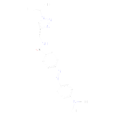 CC(C)n1cc(CNC(=O)c2ccc(N=Nc3ccc(N(C)C)cc3)cc2)nn1